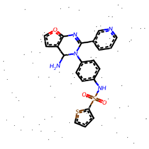 NC1c2ccoc2N=C(c2cccnc2)N1c1ccc(NS(=O)(=O)c2cccs2)cc1